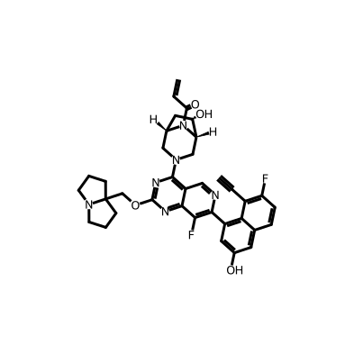 C#Cc1c(F)ccc2cc(O)cc(-c3ncc4c(N5C[C@@H]6C[C@H](O)[C@H](C5)N6C(=O)C=C)nc(OCC56CCCN5CCC6)nc4c3F)c12